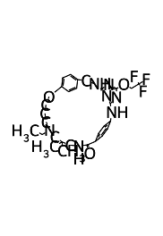 CCN1CCCOc2ccc(cc2)CNc2nc(nc(OCC(F)(F)F)n2)Nc2ccc(cc2)C(=O)NCC(C)(C)C1